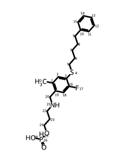 Cc1cc(SCCCCCc2ccccc2)c(F)cc1CNCCCO[PH](=O)O